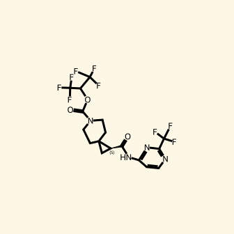 O=C(Nc1ccnc(C(F)(F)F)n1)[C@H]1CC12CCN(C(=O)OC(C(F)(F)F)C(F)(F)F)CC2